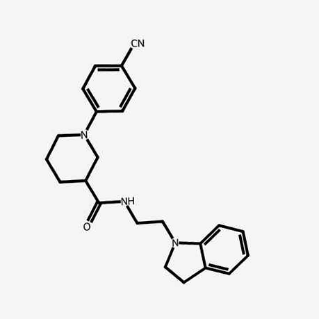 N#Cc1ccc(N2CCCC(C(=O)NCCN3CCc4ccccc43)C2)cc1